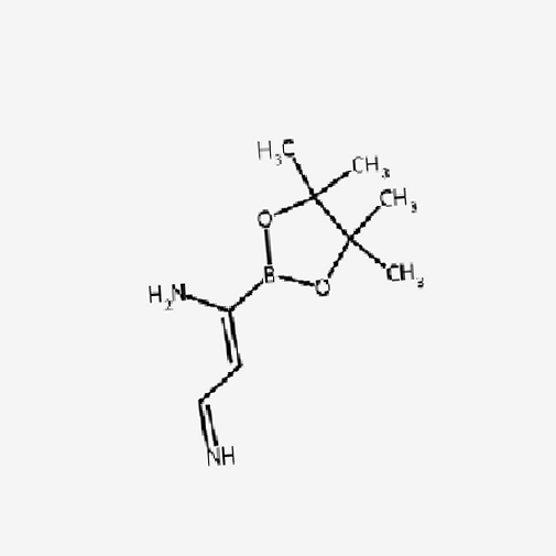 CC1(C)OB(/C(N)=C/C=N)OC1(C)C